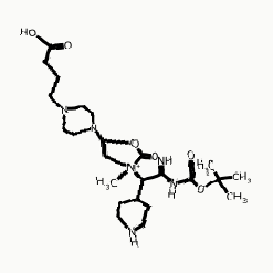 CC(C)(C)OC(=O)NC(=N)C(C1CCNCC1)[N+]1(C)CC(N2CCN(CCCC(=O)O)CC2)OC1=O